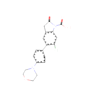 O=C(O)N1C(=O)Cc2cc(-c3ccc(N4CCOCC4)cc3)c(Cl)cc21